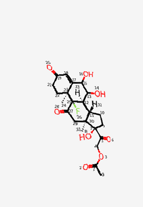 CC(=O)OCC(=O)[C@@]1(O)CC[C@H]2[C@@H]3C(O)C(O)C4=CC(=O)CC[C@]4(C)[C@@]3(F)C(=O)C[C@@]21C